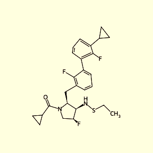 CCSN[C@H]1[C@@H](F)CN(C(=O)C2CC2)[C@H]1Cc1cccc(-c2cccc(C3CC3)c2F)c1F